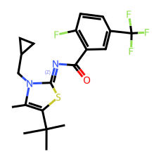 Cc1c(C(C)(C)C)s/c(=N\C(=O)c2cc(C(F)(F)F)ccc2F)n1CC1CC1